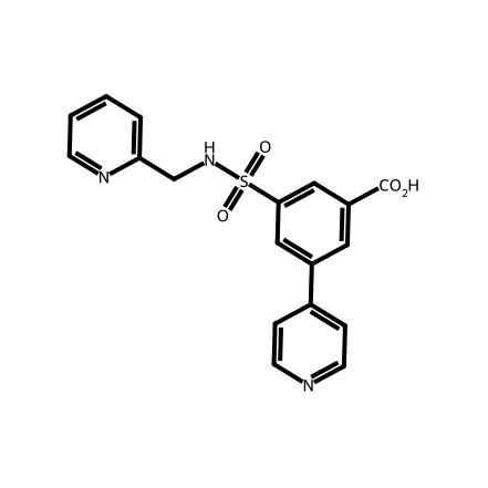 O=C(O)c1cc(-c2ccncc2)cc(S(=O)(=O)NCc2ccccn2)c1